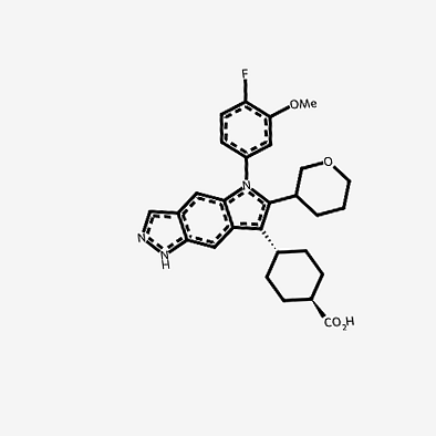 COc1cc(-n2c(C3CCCOC3)c([C@H]3CC[C@H](C(=O)O)CC3)c3cc4[nH]ncc4cc32)ccc1F